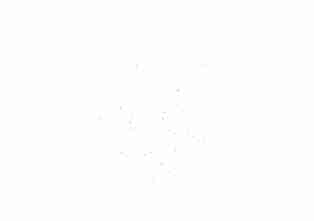 CCN(CC)CCOc1ccc(Nc2cccc(-c3cnc4cc(-c5cnn(C)c5)ccn34)n2)cc1